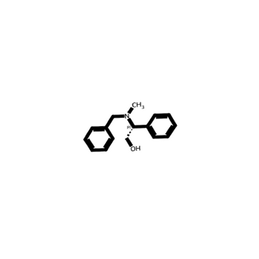 CN(Cc1ccccc1)[C@@H](CO)c1ccccc1